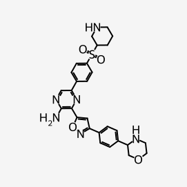 Nc1ncc(-c2ccc(S(=O)(=O)C3CCCNC3)cc2)nc1-c1cc(-c2ccc(C3COCCN3)cc2)no1